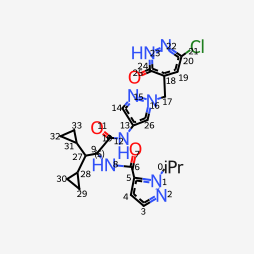 CC(C)n1nccc1C(=O)N[C@H](C(=O)Nc1cnn(Cc2cc(Cl)n[nH]c2=O)c1)C(C1CC1)C1CC1